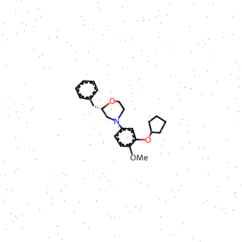 COc1ccc(N2CCO[C@@H](Cc3ccccc3)C2)cc1OC1CCCC1